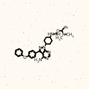 CC(C)C(ONNC1CCC(n2nc(-c3ccc(Oc4ccccc4)cc3)c3c(N)ncnc32)CC1)N(C)C